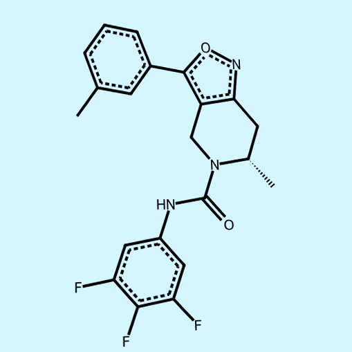 Cc1cccc(-c2onc3c2CN(C(=O)Nc2cc(F)c(F)c(F)c2)[C@@H](C)C3)c1